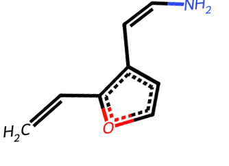 C=Cc1occc1/C=C\N